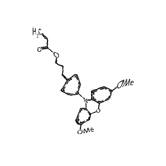 C=CC(=O)OCCCc1ccc(N2c3ccc(OC)cc3Oc3cc(OC)ccc32)cc1